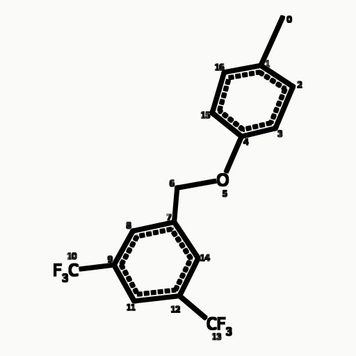 Cc1ccc(OCc2cc(C(F)(F)F)cc(C(F)(F)F)c2)cc1